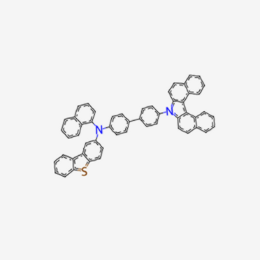 c1ccc2c(N(c3ccc(-c4ccc(-n5c6ccc7ccccc7c6c6c7ccccc7ccc65)cc4)cc3)c3ccc4sc5ccccc5c4c3)cccc2c1